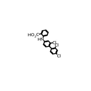 O=C(O)c1ccccc1Nc1ccc(-c2ccc(Cl)cc2Cl)c(Cl)c1